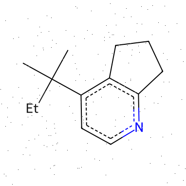 CCC(C)(C)c1ccnc2c1CCC2